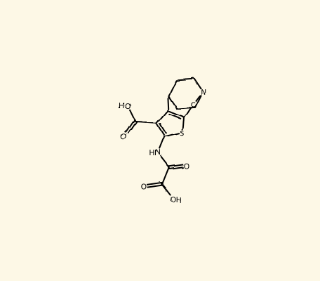 O=C(O)C(=O)Nc1sc2c(c1C(=O)O)C1CCN(CC1)C2